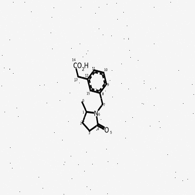 CC1CCC(=O)N1Cc1cccc(CC(=O)O)c1